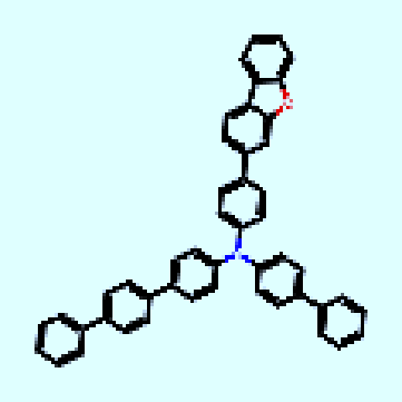 c1ccc(-c2ccc(-c3ccc(N(c4ccc(-c5ccccc5)cc4)c4ccc(-c5ccc6c(c5)oc5ccccc56)cc4)cc3)cc2)cc1